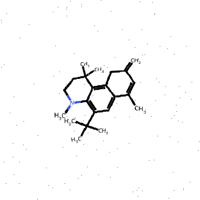 C=C1C=C(C)c2cc(C(C)(C)C)c3c(c2C1)C(C)(C)CCN3C